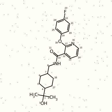 CC(C)(O)C1CCC(CNC(=O)c2cccnc2Oc2ccc(F)cc2)CC1